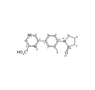 Cc1cc(-c2cncc(C(=O)O)n2)ccc1N1CCCC1=O